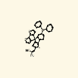 N#CC(C#N)=Cc1cc2c(s1)-c1ccc(N(c3ccccc3)c3ccccc3)cc1C21c2ccsc2-c2sccc21